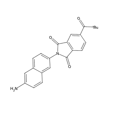 CC(C)(C)C(=O)c1ccc2c(c1)C(=O)N(c1ccc3cc(N)ccc3c1)C2=O